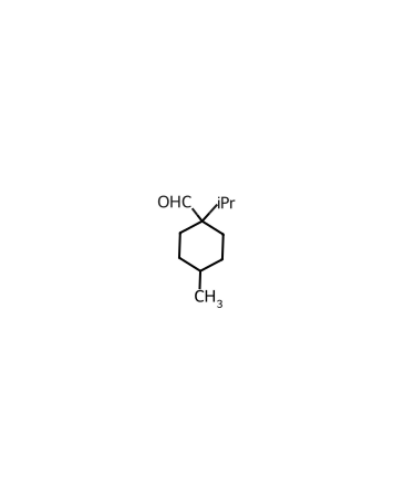 CC1CCC(C=O)(C(C)C)CC1